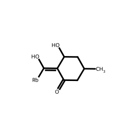 CC1CC(=O)/C(=[C](/O)[Rb])C(O)C1